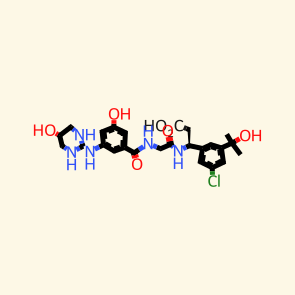 CC(C)(O)c1cc(Cl)cc([C@H](CC(=O)O)NC(=O)CNC(=O)c2cc(O)cc(NC3NCC(O)CN3)c2)c1